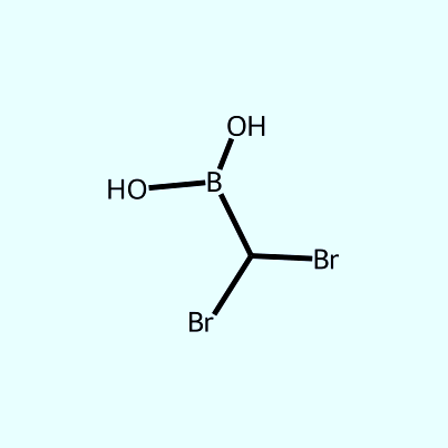 OB(O)C(Br)Br